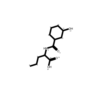 CCCC(NC(=O)C1CCCC(O)C1)C(=O)O